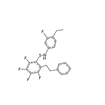 CCc1ccc(NSc2c(F)c(F)c(F)c(F)c2CCc2ccccc2)cc1F